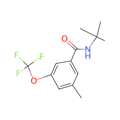 Cc1cc(OC(F)(F)F)cc(C(=O)NC(C)(C)C)c1